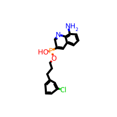 Nc1cccc2cc(P(O)OCCCc3cccc(Cl)c3)cnc12